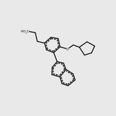 O=C(O)CCc1ccc(OCC2CCCC2)c(-c2ccc3ccccc3c2)c1